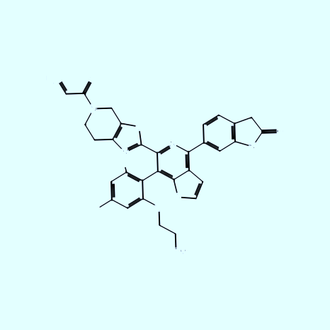 C=CC(=O)N1CCc2nc(-c3nc(-c4ccc5c(c4)NC(=O)C5)c4ccsc4c3-c3c(F)cc(F)cc3OCCOC)sc2C1